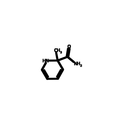 CC1(C(N)=O)C=CC=CN1